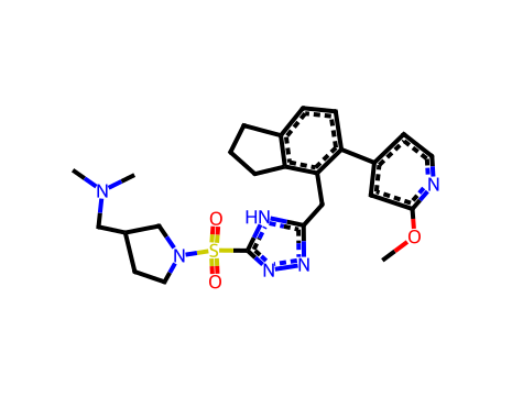 COc1cc(-c2ccc3c(c2Cc2nnc(S(=O)(=O)N4CCC(CN(C)C)C4)[nH]2)CCC3)ccn1